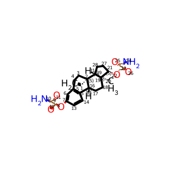 C=C[C@@]12CCc3cc(OS(N)(=O)=O)ccc3[C@H]1CC[C@]1(C)[C@@H](OS(N)(=O)=O)CC[C@H]12